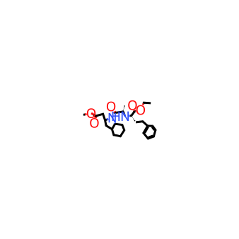 CCOC(=O)[C@H](CCc1ccccc1)N[C@@H](C)C(=O)N1C(CC(=O)OC)CC2CCCCC21